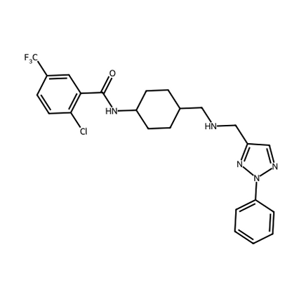 O=C(NC1CCC(CNCc2cnn(-c3ccccc3)n2)CC1)c1cc(C(F)(F)F)ccc1Cl